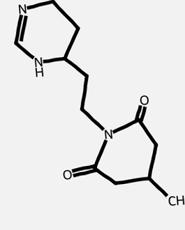 CC1CC(=O)N(CCC2CCN=CN2)C(=O)C1